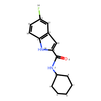 O=C(NC1CCCCC1)c1cc2cc(F)ccc2[nH]1